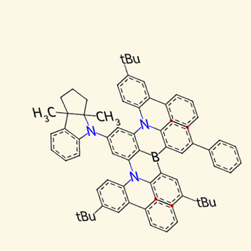 CC(C)(C)c1ccc2c(c1)B1c3cc(-c4ccccc4)ccc3N(c3ccc(C(C)(C)C)cc3-c3ccccc3)c3cc(N4c5ccccc5C5(C)CCCC45C)cc(c31)N2c1ccc(C(C)(C)C)cc1-c1ccccc1